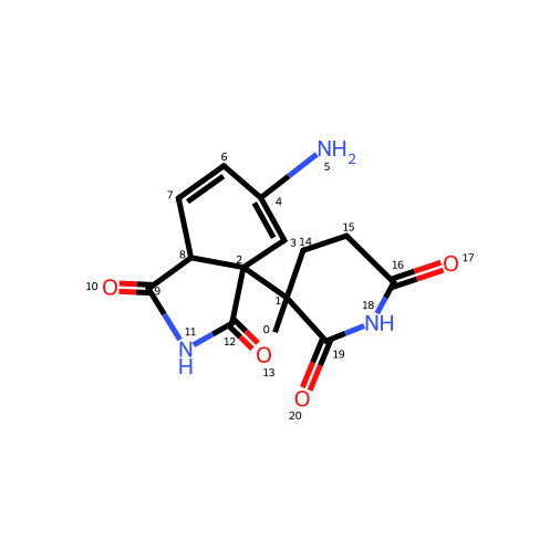 CC1(C23C=C(N)C=CC2C(=O)NC3=O)CCC(=O)NC1=O